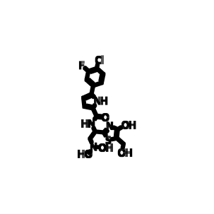 O=C(NC(CN(O)O)c1nc(O)c(CO)s1)c1ccc(-c2ccc(Cl)c(F)c2)[nH]1